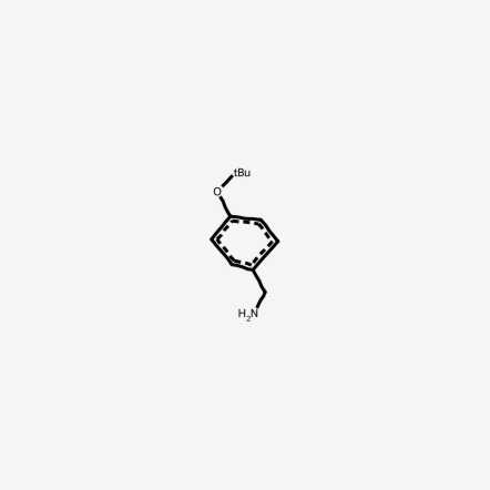 CC(C)(C)Oc1ccc(CN)cc1